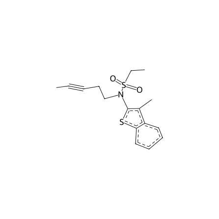 CC#CCCN(c1sc2ccccc2c1C)S(=O)(=O)CC